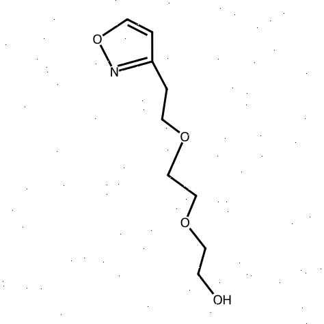 OCCOCCOCCc1ccon1